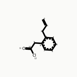 C=CCc1ccccc1CC(=O)Cl